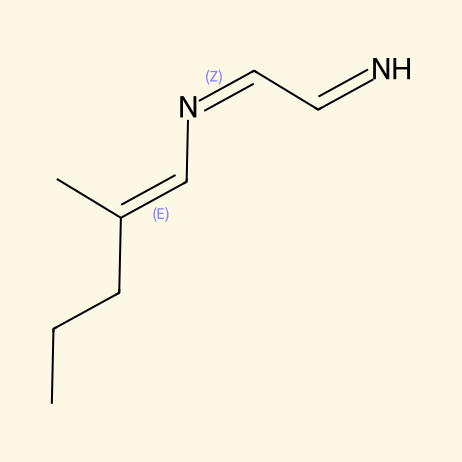 CCC/C(C)=C/N=C\C=N